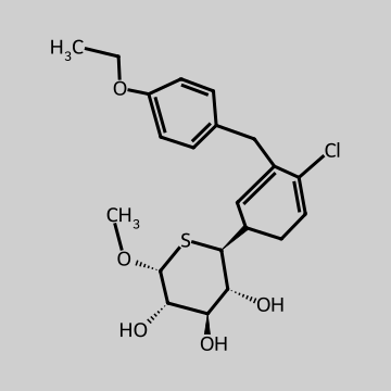 CCOc1ccc(CC2=CC([C@@H]3S[C@@H](OC)[C@@H](O)[C@H](O)[C@H]3O)CC=C2Cl)cc1